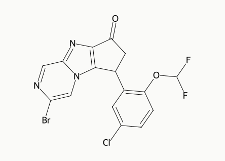 O=C1CC(c2cc(Cl)ccc2OC(F)F)c2c1nc1cnc(Br)cn21